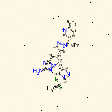 CC(C)C(c1ccc(C(F)(F)F)nc1)n1cc(-c2cc(-c3cnn(CC(C)(F)F)c3)n3nc(N)nc3c2)cn1